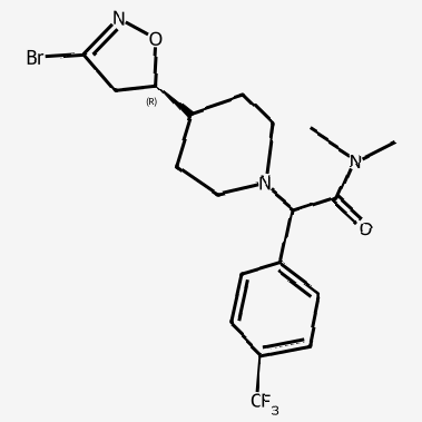 CN(C)C(=O)C(c1ccc(C(F)(F)F)cc1)N1CCC([C@H]2CC(Br)=NO2)CC1